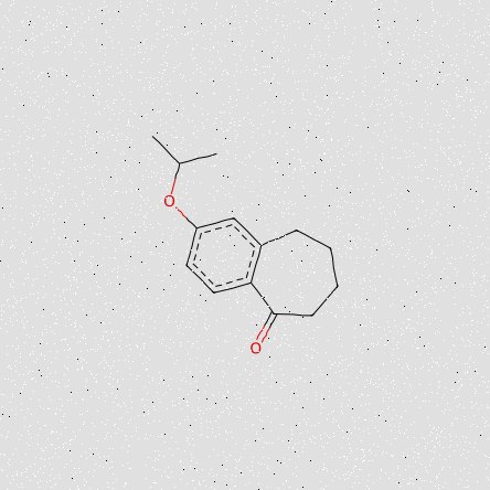 CC(C)Oc1ccc2c(c1)CCCCC2=O